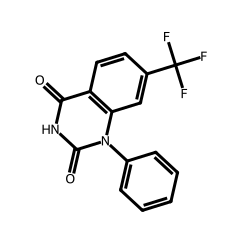 O=c1[nH]c(=O)n(-c2ccccc2)c2cc(C(F)(F)F)ccc12